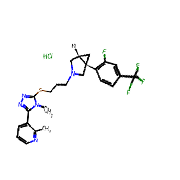 Cc1ncccc1-c1nnc(SCCCN2C[C@@H]3C[C@]3(c3ccc(C(F)(F)F)cc3F)C2)n1C.Cl